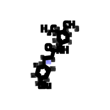 Cc1ccc(NC(=O)/C=C/c2ccc(C(C)(C)C)cc2)cc1C